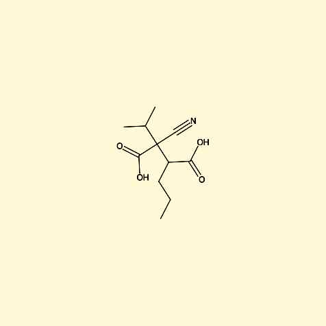 CCCC(C(=O)O)C(C#N)(C(=O)O)C(C)C